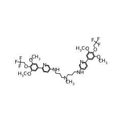 COc1cc(-c2ccc(NCCCN(C)CCCNc3ccc(-c4cc(OC)c(OCC(F)(F)F)c(OC)c4)nc3)cn2)cc(OC)c1OCC(F)(F)F